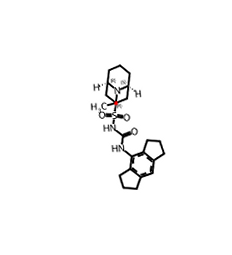 CCN1[C@@H]2CCC[C@H]1C[C@@H](S(=O)(=O)NC(=O)Nc1c3c(cc4c1CCC4)CCC3)C2